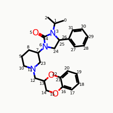 CC(C)N1C(=O)N(C2CCCN(CC3COc4ccccc4O3)C2)CC1c1ccccc1